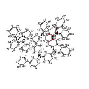 c1ccc(-c2cccc(N(c3cccc(-c4ccc5c(c4)oc4ccccc45)c3)c3cccc(-n4c5ccccc5c5cc(-c6cccc(-c7ccccc7N(c7cccc(-c8ccc9c(c8)oc8ccccc89)c7)c7cccc(-n8c9ccccc9c9ccccc98)c7)c6)ccc54)c3)c2)cc1